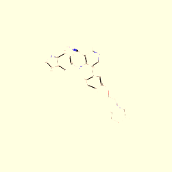 N#Cc1cncc(-c2cccc(OCCN3CCOCC3)c2)c1Nc1ccc2[nH]ccc2c1